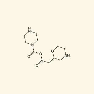 O=C(CC1CNCCO1)OC(=O)N1CCNCC1